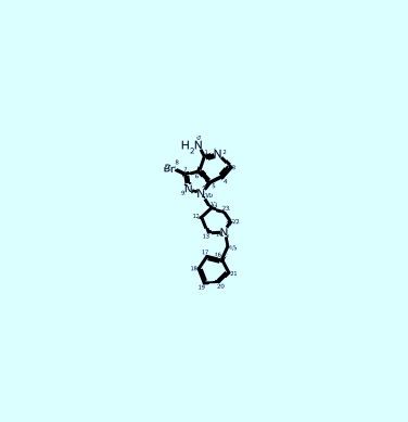 Nc1nccc2c1c(Br)nn2C1CCN(Cc2ccccc2)CC1